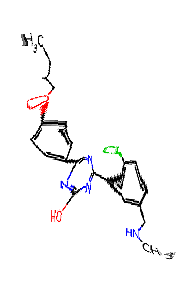 CCCCOc1ccc(-c2nc(O)nc(-c3cc(CNC)ccc3Cl)n2)cc1